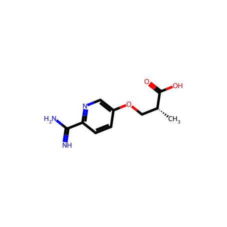 C[C@H](COc1ccc(C(=N)N)nc1)C(=O)O